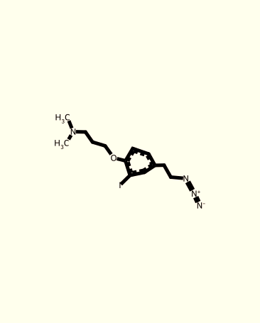 CN(C)CCCOc1ccc(CCN=[N+]=[N-])cc1I